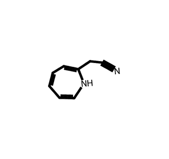 N#CCC1=CC=CC=CN1